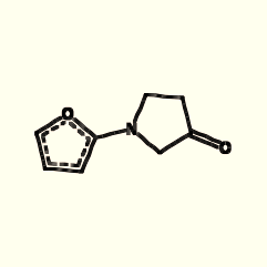 O=C1CCN(c2ccco2)C1